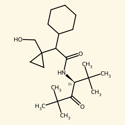 CC(C)(C)C(=O)[C@@H](NC(=O)C(C1CCCCC1)C1(CO)CC1)C(C)(C)C